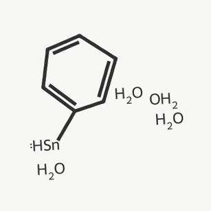 O.O.O.O.[SnH][c]1ccccc1